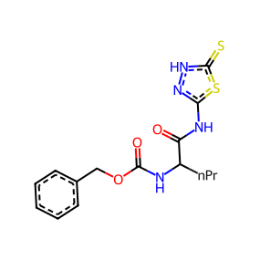 CCCC(NC(=O)OCc1ccccc1)C(=O)Nc1n[nH]c(=S)s1